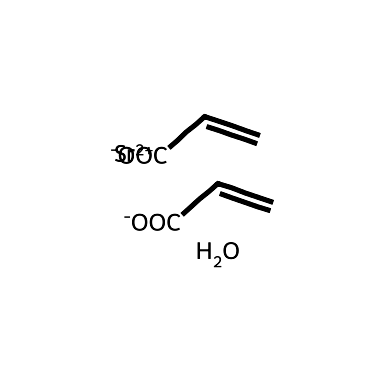 C=CC(=O)[O-].C=CC(=O)[O-].O.[Sr+2]